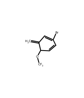 C=C1C=C(Br)C=CC1OC(F)(F)F